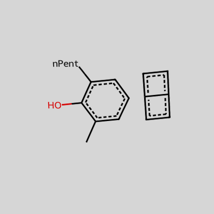 CCCCCc1cccc(C)c1O.c1cc2ccc1-2